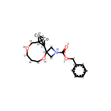 O=C(OCc1ccccc1)N1CC2(C1)OCCCOC[C]13[Co]4[Co]1[C]423